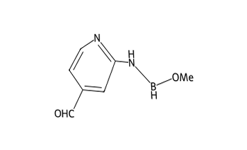 COBNc1cc(C=O)ccn1